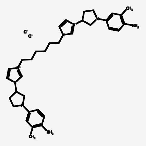 Cc1cc(N2CCC(n3cc[n+](CCCCCCn4cc[n+](C5CCN(c6ccc(N)c(C)c6)C5)c4)c3)C2)ccc1N.[Cl-].[Cl-]